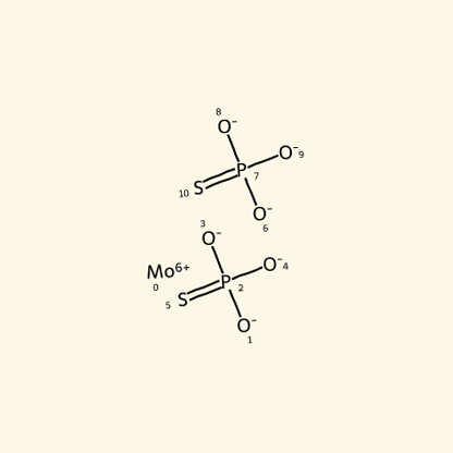 [Mo+6].[O-]P([O-])([O-])=S.[O-]P([O-])([O-])=S